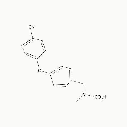 CN(Cc1ccc(Oc2ccc(C#N)cc2)cc1)C(=O)O